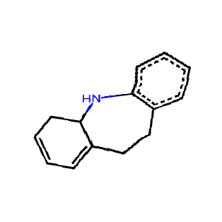 C1=CCC2Nc3ccccc3CCC2=C1